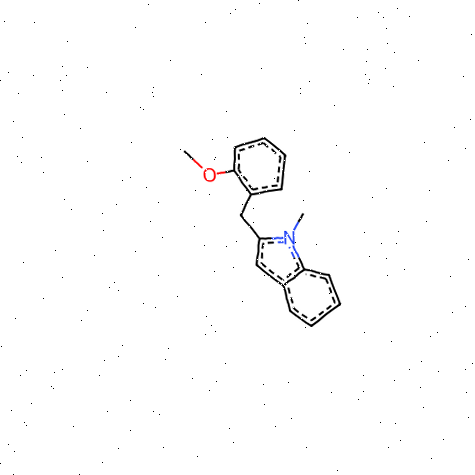 COc1ccccc1Cc1cc2ccccc2n1C